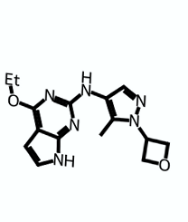 CCOc1nc(Nc2cnn(C3COC3)c2C)nc2[nH]ccc12